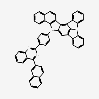 c1ccc2cc(-c3nc(-c4ccc(-n5c6cc7c8ccccc8n8c9ccccc9c(c6c6ccc9ccccc9c65)c78)cc4)nc4ccccc34)ccc2c1